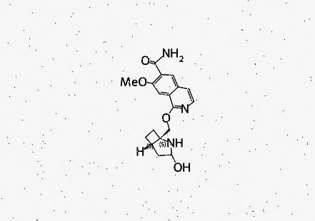 COc1cc2c(OC[C@]34CC[C@H]3CC(O)N4)nccc2cc1C(N)=O